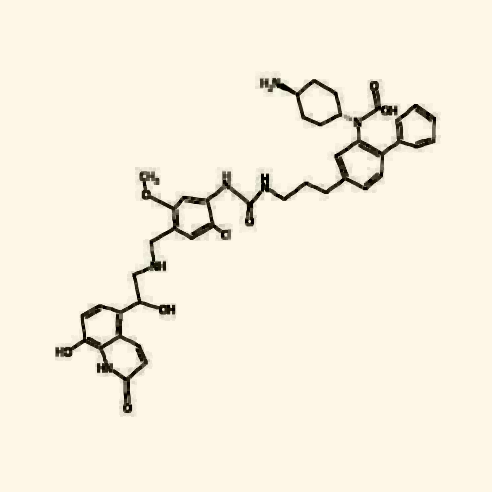 COc1cc(NC(=O)NCCCc2ccc(-c3ccccc3)c(N(C(=O)O)[C@H]3CC[C@H](N)CC3)c2)c(Cl)cc1CNCC(O)c1ccc(O)c2[nH]c(=O)ccc12